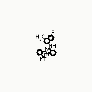 C=C1C=C=C(Nc2nc(-c3ccccc3C(F)(F)F)nc3ccccc23)c2ccc(F)cc21